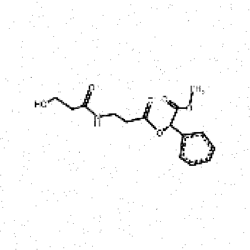 O=C(CCO)NCCC(=O)O[C@@H](C(=O)OP)c1ccccc1